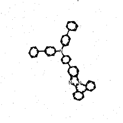 c1ccc(-c2ccc(N(c3ccc(-c4ccccc4)cc3)c3ccc(-c4ccc5c(c4)nc4c6ccccc6c6ccccc6n54)cc3)cc2)cc1